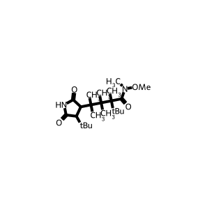 CON(C)C(=O)C(C)(C(C)(C)C)C(C)(C)C(C)(C)C1C(=O)NC(=O)C1C(C)(C)C